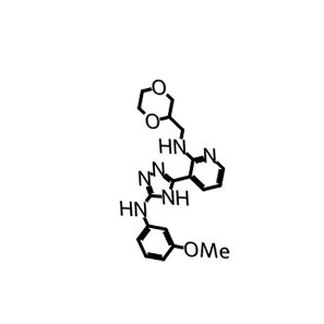 COc1cccc(Nc2nnc(-c3cccnc3NCC3COCCO3)[nH]2)c1